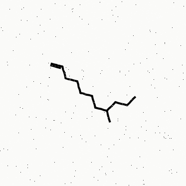 C=CCCCCCC(C)CCC